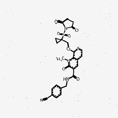 Cn1c(=O)c(C(=O)NCc2ccc(C#N)cc2)cc2ccnc(OCC3(S(=O)(=O)N4C(=O)CCC4=O)CC3)c21